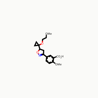 COCCOC1(C2CC(c3ccc(OC)c(C(=O)O)c3)=NO2)CC1